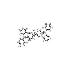 CC1Cc2c(c3ccccc3n2-c2ccccc2)C=C1c1ccc2c(c1)c1ccccc1n2-c1ccccc1